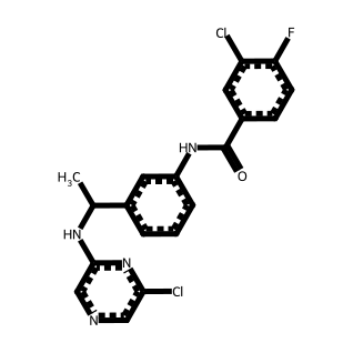 CC(Nc1cncc(Cl)n1)c1cccc(NC(=O)c2ccc(F)c(Cl)c2)c1